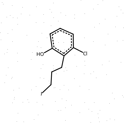 Oc1cccc(Cl)c1CCCI